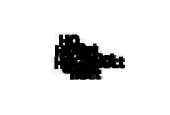 CCCCCCCCC(=O)OCC(O)(C(=O)CCCCCCCC)C(O)(C(=O)CCCCCCCC)C(O)(C(=O)CCCCCCCC)C(O)CO